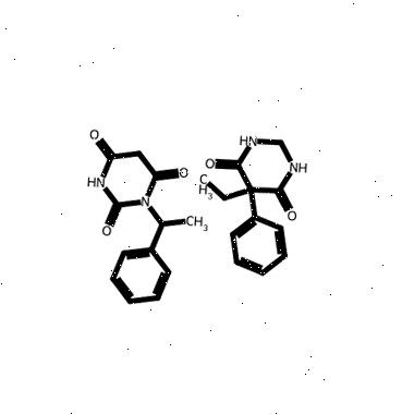 CC(c1ccccc1)N1C(=O)CC(=O)NC1=O.CCC1(c2ccccc2)C(=O)NCNC1=O